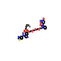 CCCCS(=O)(=O)c1cc2c(Nc3ccc4scnc4c3)ccnc2cc1OCCOCCOCCOCCn1c(=O)n(C2CCC(=O)NC2=O)c2ccccc21